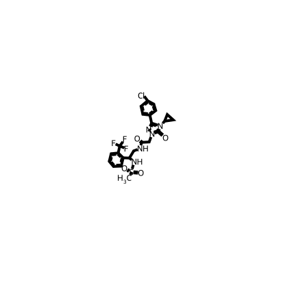 CS(=O)(=O)NC(CNC(=O)Cn1nc(-c2ccc(Cl)cc2)n(C2CC2)c1=O)c1ccccc1C(F)(F)F